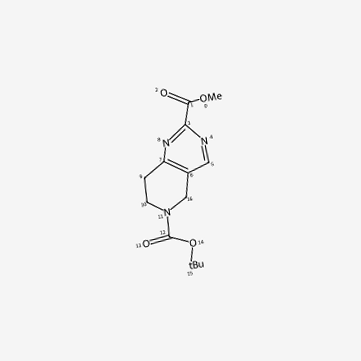 COC(=O)c1ncc2c(n1)CCN(C(=O)OC(C)(C)C)C2